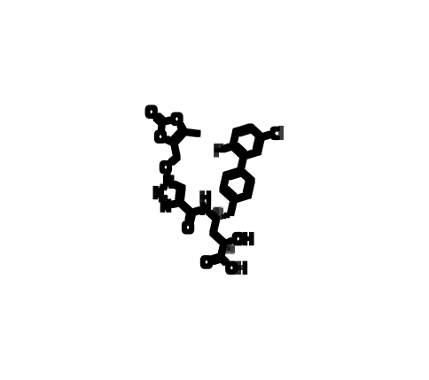 Cc1oc(=O)oc1COn1cc(C(=O)N[C@H](Cc2ccc(-c3cc(Cl)ccc3F)cc2)C[C@@H](O)C(=O)O)nn1